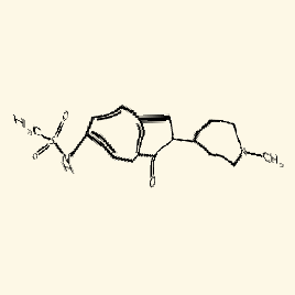 CN1CCC(C2Cc3ccc(NS(C)(=O)=O)cc3C2=O)CC1